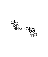 O=C(Nc1ccc(/C=C/c2ccc(NC(=O)[C@@H]3CCCN3C(=O)c3ccccc3N3CCCCC3)cc2)cc1)[C@@H]1CCCN1C(=O)c1ccccc1N1CCCCC1